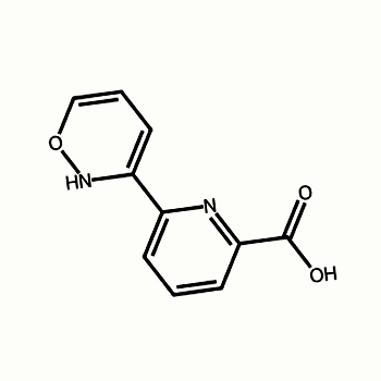 O=C(O)c1cccc(C2=CC=CON2)n1